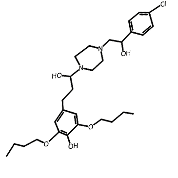 CCCCOc1cc(CCC(O)N2CCN(CC(O)c3ccc(Cl)cc3)CC2)cc(OCCCC)c1O